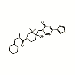 CC(CC1CCCCC1)C(=O)N1CCC(O)(Cn2cnc(-c3ccsc3)cc2=O)C(C)(C)C1